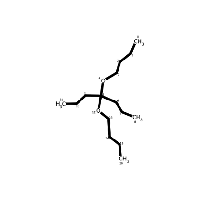 CCCCOC(CCC)(CCC)OCCCC